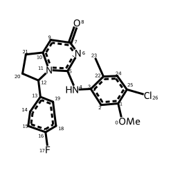 COc1cc(Nc2nc(=O)cc3n2C(c2ccc(F)cc2)CC3)c(C)cc1Cl